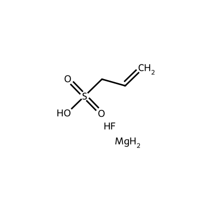 C=CCS(=O)(=O)O.F.[MgH2]